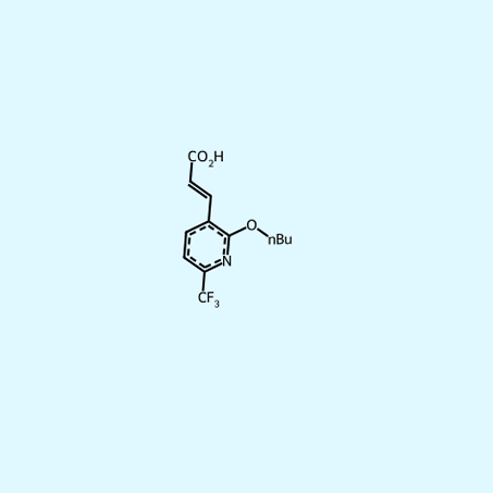 CCCCOc1nc(C(F)(F)F)ccc1C=CC(=O)O